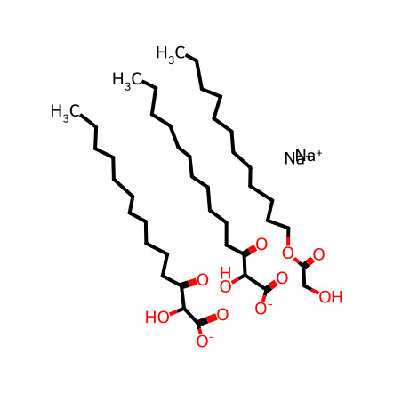 CCCCCCCCCCCC(=O)C(O)C(=O)[O-].CCCCCCCCCCCC(=O)C(O)C(=O)[O-].CCCCCCCCCCCCOC(=O)CO.[Na+].[Na+]